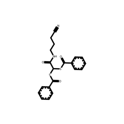 N#CCCCNC(=O)C(SC(=O)c1ccccc1)SC(=O)c1ccccc1